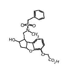 CN(CC1C(O)CC2Oc3c(OCC(=O)O)cccc3C21)S(=O)(=O)Cc1ccccc1